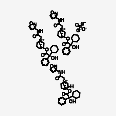 O=C(C[N+]12CCC(CC1)C(OC(=O)[C@](O)(c1ccccc1)C1CCCCC1)C2)Nc1ccon1.O=C(C[N+]12CCC(CC1)C(OC(=O)[C@](O)(c1ccccc1)C1CCCCC1)C2)Nc1ccon1.O=C(C[N+]12CCC(CC1)[C@@H](OC(=O)[C@](O)(c1ccccc1)C1CCCCC1)C2)Nc1ccon1.O=P([O-])([O-])[O-]